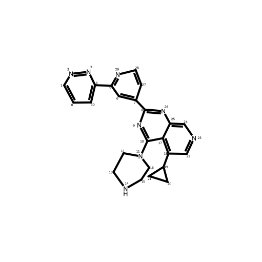 c1cnnc(-c2cc(-c3nc(N4CCNCC4)c4c(C5CC5)cncc4n3)ccn2)c1